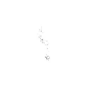 c1cn(CCCOc2ccc3oc(NC4CCNCC4)nc3c2)nn1